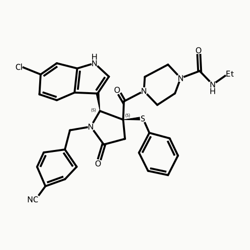 CCNC(=O)N1CCN(C(=O)[C@]2(Sc3ccccc3)CC(=O)N(Cc3ccc(C#N)cc3)[C@H]2c2c[nH]c3cc(Cl)ccc23)CC1